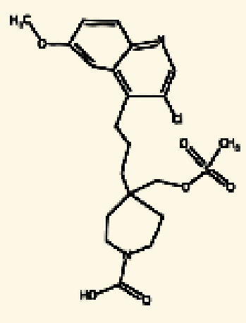 COc1ccc2ncc(Cl)c(CCCC3(COS(C)(=O)=O)CCN(C(=O)O)CC3)c2c1